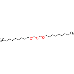 CCCCCCCCCOCOCOCCCCCCCCC